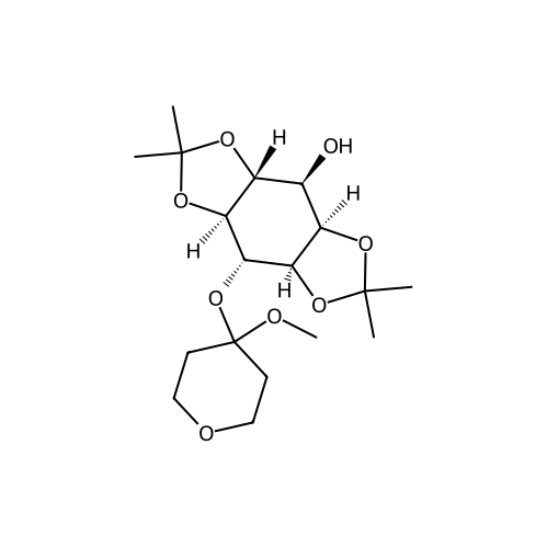 COC1(O[C@@H]2[C@H]3OC(C)(C)O[C@@H]3[C@@H](O)[C@H]3OC(C)(C)O[C@@H]23)CCOCC1